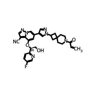 C=CC(=O)N1CCC2(CC1)CC(n1cc(-c3cc(O[C@@H](CO)c4ccc(F)cn4)c4c(C#N)cnn4c3)cn1)C2